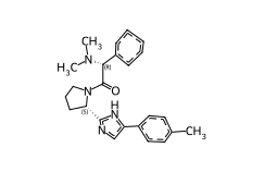 Cc1ccc(-c2cnc([C@@H]3CCCN3C(=O)[C@@H](c3ccccc3)N(C)C)[nH]2)cc1